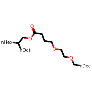 CCCCCCCCCCCOCCOCCCC(=O)OCC(CCCCCC)CCCCCCCC